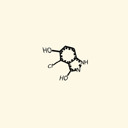 Oc1ccc2[nH]nc(O)c2c1Cl